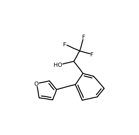 OC(c1ccccc1-c1ccoc1)C(F)(F)F